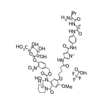 COc1cc2c(cc1OCCCC(=O)Nc1cc(C(=O)Nc3ccc(NC(=O)[C@H](C)NC(=O)[C@@H](N)C(C)C)cc3)n(C)c1)N(C(=O)OCc1ccc(O[C@@H]3O[C@H](C(=O)O)[C@@H](O)[C@H](O)[C@H]3O)c([N+](=O)[O-])c1)C(O)[C@@H]1CCCCN1C2=O.O=C(O)C(F)(F)F